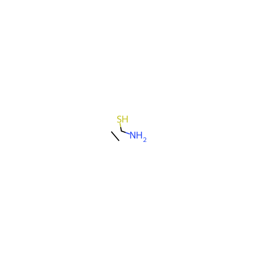 CC.NCS